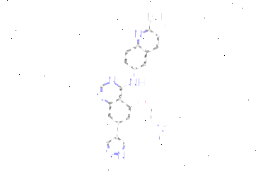 Bc1ccc2cc(Nc3ncnc4cc(-c5cnn(C)c5)cc(O[C@H](C)CN(C)C)c34)ccc2n1